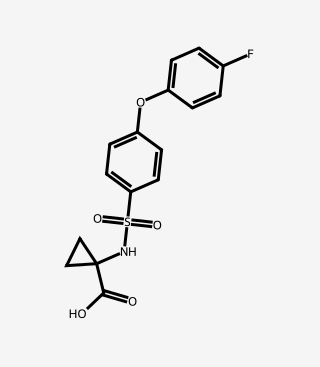 O=C(O)C1(NS(=O)(=O)c2ccc(Oc3ccc(F)cc3)cc2)CC1